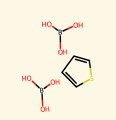 OB(O)O.OB(O)O.c1ccsc1